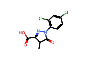 CC1C(=O)N(c2ccc(Cl)cc2Cl)N=C1C(=O)O